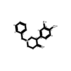 O=C1CCN(Cc2ccccc2)CC1c1ccc(Cl)c(F)c1